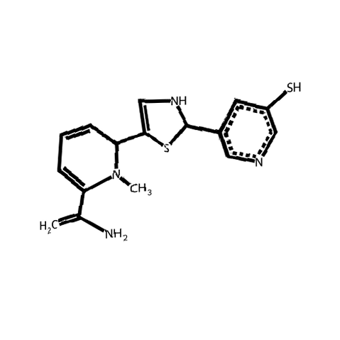 C=C(N)C1=CC=CC(C2=CNC(c3cncc(S)c3)S2)N1C